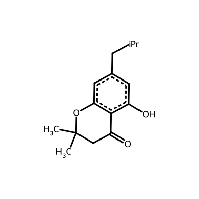 CC(C)Cc1cc(O)c2c(c1)OC(C)(C)CC2=O